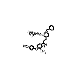 CNC.Cc1c(Oc2ccc(C#N)cc2)ccc2c(CCC3CCN(Cc4ccccc4)CC3)noc12.Cl.Cl